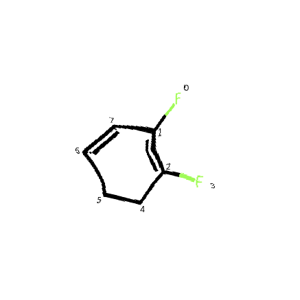 FC1=C(F)CC[C]=[C]1